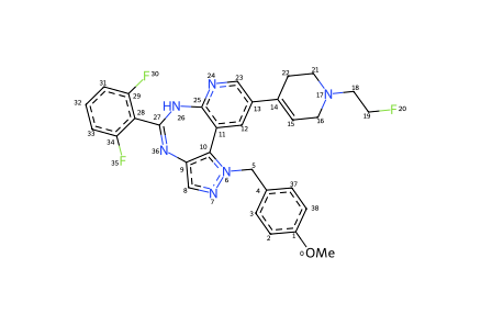 COc1ccc(Cn2ncc3c2-c2cc(C4=CCN(CCF)CC4)cnc2NC(c2c(F)cccc2F)=N3)cc1